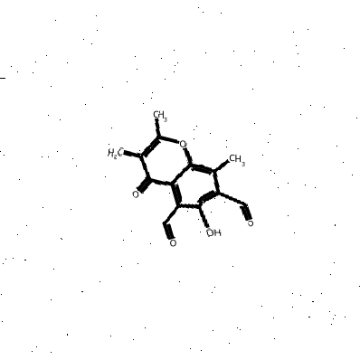 Cc1oc2c(C)c(C=O)c(O)c(C=O)c2c(=O)c1C